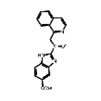 COc1ccc2[nH]c([S+]([O-])Cc3nccc4ccccc34)nc2c1